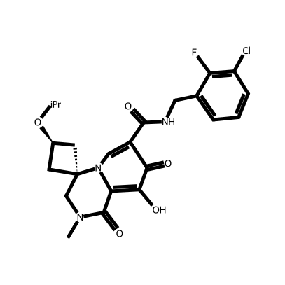 CC(C)O[C@H]1C[C@]2(CN(C)C(=O)c3c(O)c(=O)c(C(=O)NCc4cccc(Cl)c4F)cn32)C1